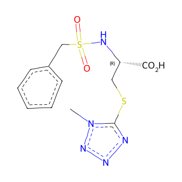 Cn1nnnc1SC[C@H](NS(=O)(=O)Cc1ccccc1)C(=O)O